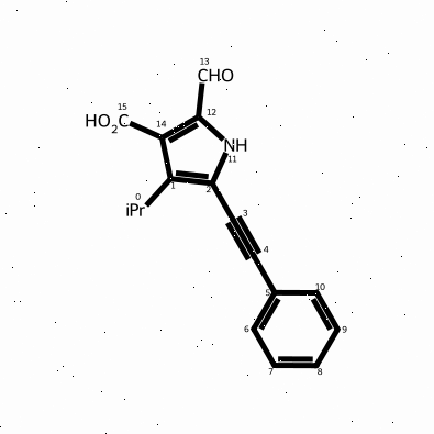 CC(C)c1c(C#Cc2ccccc2)[nH]c(C=O)c1C(=O)O